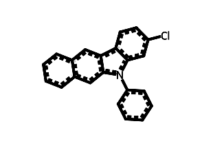 Clc1ccc2c3cc4ccccc4cc3n(-c3ccccc3)c2c1